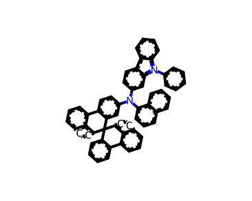 c1ccc(-n2c3ccccc3c3ccc(N(c4ccc5c(c4)C4(c6ccccc6-c6cccc7cccc4c67)c4cccc6cccc-5c46)c4cccc5ccccc45)cc32)cc1